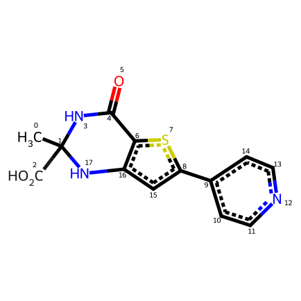 CC1(C(=O)O)NC(=O)c2sc(-c3ccncc3)cc2N1